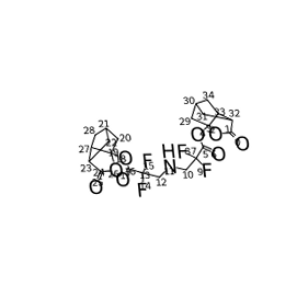 O=C1OC2(OC(=O)C(F)(F)CNCC(F)(F)C(=O)OC34CC5CC(C(=O)O3)C4C5)CC3CC1C2C3